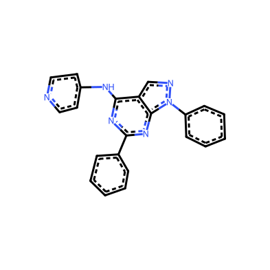 c1ccc(-c2nc(Nc3ccncc3)c3cnn(-c4ccccc4)c3n2)cc1